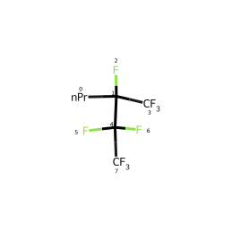 C[CH]CC(F)(C(F)(F)F)C(F)(F)C(F)(F)F